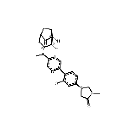 CN1C[C@H](c2ccc(-c3cnc(N(C)[C@@H]4CC5CC[C@H](N5)[C@@H]4F)cn3)c(O)c2)CC1=O